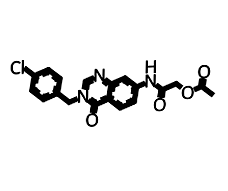 CC(=O)OCC(=O)Nc1ccc2c(=O)n(Cc3ccc(Cl)cc3)cnc2c1